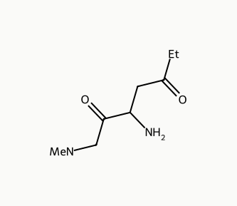 CCC(=O)CC(N)C(=O)CNC